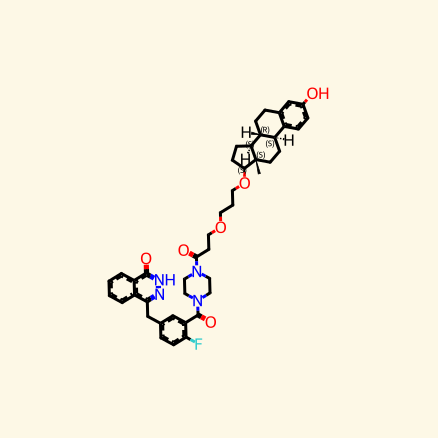 C[C@]12CC[C@@H]3c4ccc(O)cc4CC[C@H]3[C@@H]1CC[C@@H]2OCCCOCCC(=O)N1CCN(C(=O)c2cc(Cc3n[nH]c(=O)c4ccccc34)ccc2F)CC1